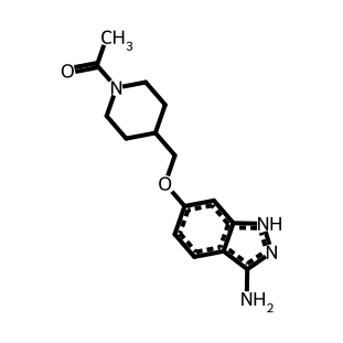 CC(=O)N1CCC(COc2ccc3c(N)n[nH]c3c2)CC1